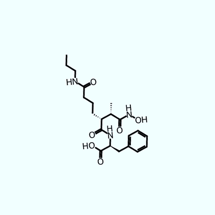 CCCNC(=O)CCC[C@@H](C(=O)N[C@@H](Cc1ccccc1)C(=O)O)[C@H](C)C(=O)NO